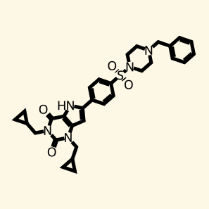 O=c1c2[nH]c(-c3ccc(S(=O)(=O)N4CCN(Cc5ccccc5)CC4)cc3)cc2n(CC2CC2)c(=O)n1CC1CC1